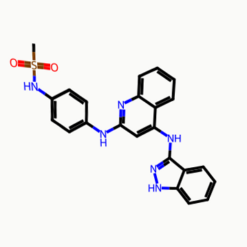 CS(=O)(=O)Nc1ccc(Nc2cc(Nc3n[nH]c4ccccc34)c3ccccc3n2)cc1